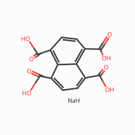 O=C(O)c1ccc(C(=O)O)c2c(C(=O)O)ccc(C(=O)O)c12.[NaH]